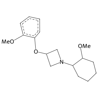 COc1ccccc1OC1CN(C2CCCCC2OC)C1